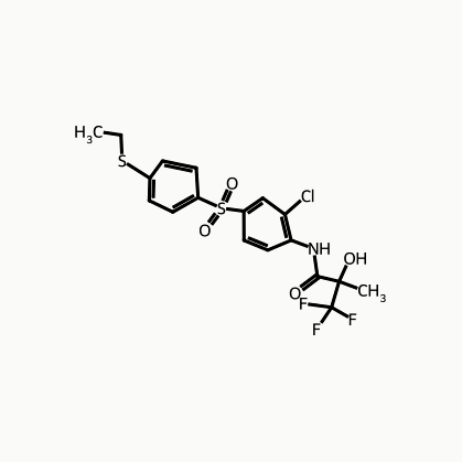 CCSc1ccc(S(=O)(=O)c2ccc(NC(=O)C(C)(O)C(F)(F)F)c(Cl)c2)cc1